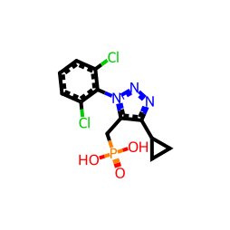 O=P(O)(O)Cc1c(C2CC2)nnn1-c1c(Cl)cccc1Cl